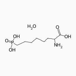 NC(CCCCCCP(=O)(O)O)C(=O)O.O